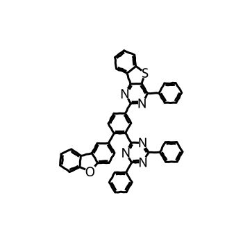 c1ccc(-c2nc(-c3ccccc3)nc(-c3cc(-c4nc(-c5ccccc5)c5sc6ccccc6c5n4)ccc3-c3ccc4oc5ccccc5c4c3)n2)cc1